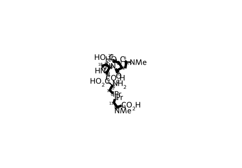 CC(C)C[C@H](N)C(=O)O.CN[C@@H](C)C(=O)O.CN[C@@H](CC(C)C)C(=O)O.O=C(O)[C@@H]1CCCN1.O=C1CC[C@@H](C(=O)O)N1